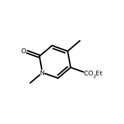 CCOC(=O)c1cn(C)c(=O)cc1C